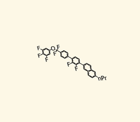 CCCc1ccc2cc(-c3ccc(-c4ccc(C(F)(F)Oc5cc(F)c(F)c(F)c5)cc4)c(F)c3F)ccc2c1